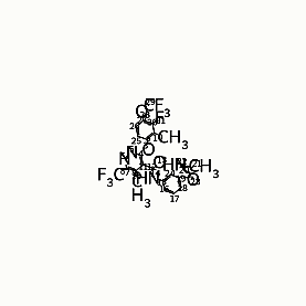 Cc1c(Oc2nnc(C(F)(F)F)c(C)c2C(=O)Nc2cccc(S(C)(=N)=O)c2)ccc(OC(F)(F)F)c1F